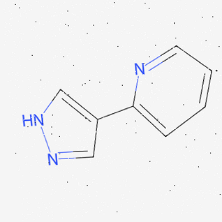 [c]1ccc(-c2cn[nH]c2)nc1